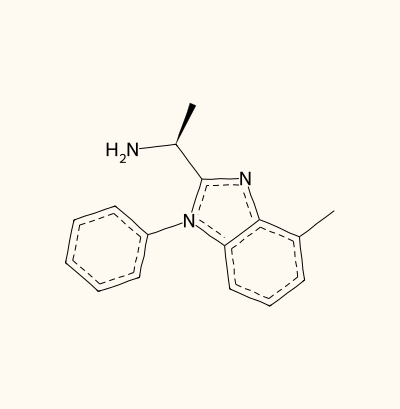 Cc1cccc2c1nc([C@H](C)N)n2-c1ccccc1